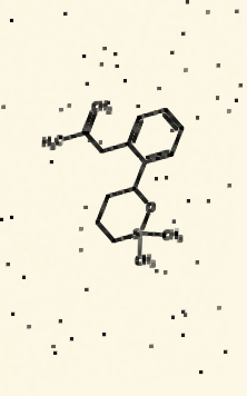 C=C(C)Cc1ccccc1C1CCC[Si](C)(C)O1